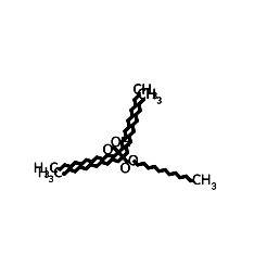 CCCCCCCCCCCCOC(=O)C(CCCCCCCCCCCC)(CCCCCCCCCCCC)C(CCCCCCCCCCCC)(CCCCCCCCCCCC)C(=O)O